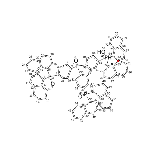 O=P(c1ccc(P(=O)(c2cccc3ccccc23)c2cccc3ccccc23)cc1)(c1ccc(P(=O)(c2cccc3ccccc23)c2cccc3ccccc23)cc1)c1ccc([PH](O)(c2cccc3ccccc23)c2cccc3ccccc23)cc1